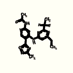 CCc1cc(Nc2cc(NC(C)=O)ncc2-c2nc(C)no2)nc(C(C)(F)F)n1